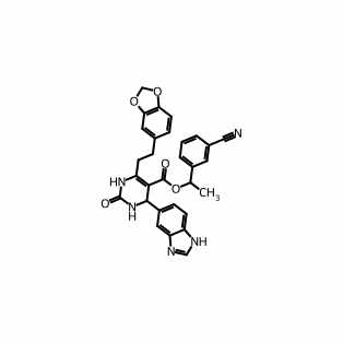 CC(OC(=O)C1=C(CCc2ccc3c(c2)OCO3)NC(=O)NC1c1ccc2[nH]cnc2c1)c1cccc(C#N)c1